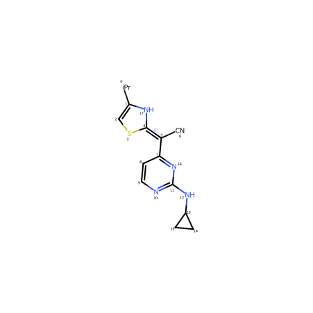 CC(C)C1=CS/C(=C(/C#N)c2ccnc(NC3CC3)n2)N1